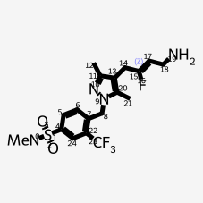 CNS(=O)(=O)c1ccc(Cn2nc(C)c(C/C(F)=C/CN)c2C)c(C(F)(F)F)c1